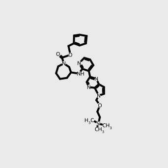 C[Si](C)(C)CCOCn1ccc2nc(-c3cccnc3NC3CCCCN(C(=O)OCc4ccccc4)C3)cnc21